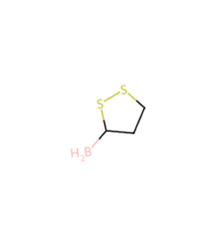 BC1CCSS1